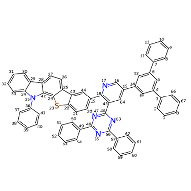 c1ccc(-c2cc(-c3ccccc3)cc(-c3cnc(-c4ccc5sc6c(ccc7c8ccccc8n(-c8ccccc8)c76)c5c4)c(-c4nc(-c5ccccc5)nc(-c5ccccc5)n4)c3)c2)cc1